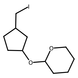 ICC1CCC(OC2CCCCO2)C1